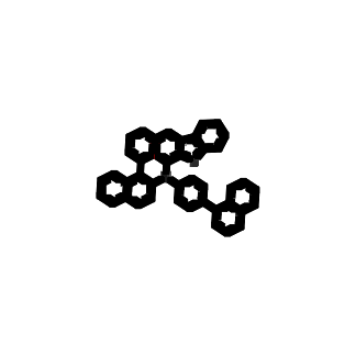 c1ccc(-c2c(N(c3ccc(-c4cccc5ccccc45)cc3)c3cccc4c3sc3ccccc34)ccc3ccccc23)cc1